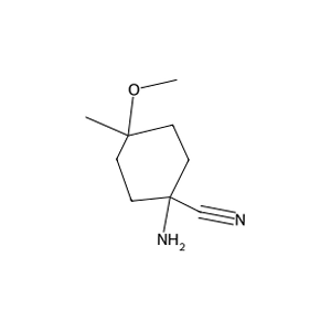 COC1(C)CCC(N)(C#N)CC1